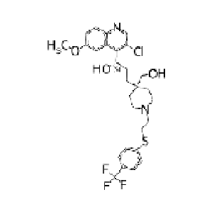 COc1ccc2ncc(Cl)c([C@@H](O)CCC3(CO)CCN(CCSc4ccc(C(F)(F)F)cc4)CC3)c2c1